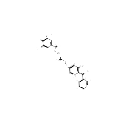 CC(C)(C)c1cc(C(=O)NNC(=O)COc2ccc(C(=O)c3ccccc3)c(O)c2)cc(C(C)(C)C)c1O